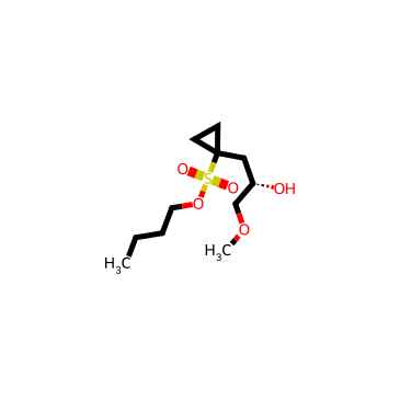 CCCCOS(=O)(=O)C1(C[C@H](O)COC)CC1